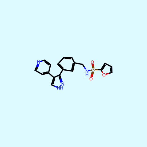 O=S(=O)(NCc1cccc(-c2n[nH]cc2-c2ccncc2)c1)c1ccco1